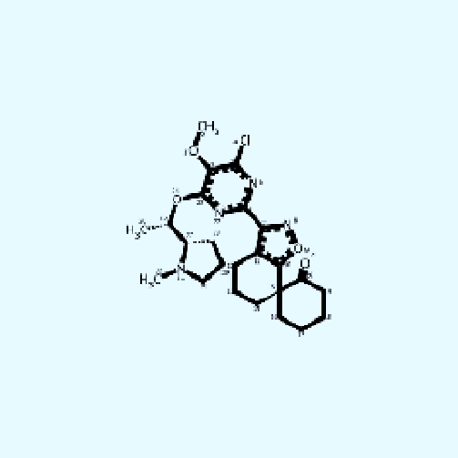 COc1c(Cl)nc(-c2noc3c2CCC[C@@]32CCCCC2=O)nc1O[C@@H](C)[C@@H]1CCCN1C